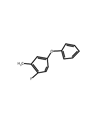 Cc1cc(Oc2ccccc2)ccc1F